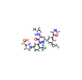 CCNc1cc(-c2cc(C)cc(-c3cnco3)c2)nn(-c2cc(N3CCC(CO)C3)ccc2C(F)(F)F)c1=O